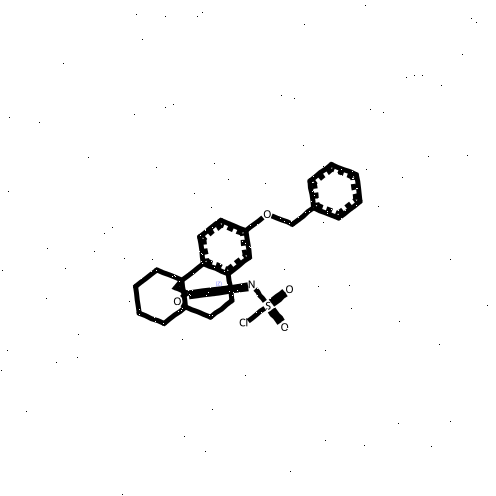 O=S(=O)(Cl)/N=C1/CC23CCCCC2(CCc2cc(OCc4ccccc4)ccc23)O1